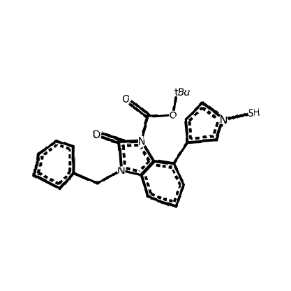 CC(C)(C)OC(=O)n1c(=O)n(Cc2ccccc2)c2cccc(-c3ccn(S)c3)c21